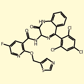 O=C(NC1N=C(c2c(Cl)cc(Cl)cc2Cl)c2ccccc2NC1=O)c1cc(F)cnc1OCc1cncs1